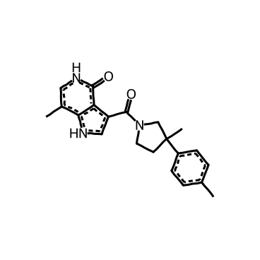 Cc1ccc(C2(C)CCN(C(=O)c3c[nH]c4c(C)c[nH]c(=O)c34)C2)cc1